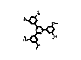 CNc1cc(NC)cc(-c2nc(-c3cc(NC)cc(NC)c3)nc(-c3cc(NC)cc(NC)c3)n2)c1